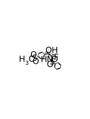 CS(=O)(=O)c1ccc([C@H](O)[C@@H](CF)NS(=O)(=O)c2ccccc2)cc1